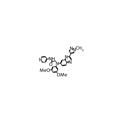 COc1cc(OC)cc(N(CC(=O)Nc2ccncc2)c2ccc3ncc(-c4cnn(C)c4)nc3c2)c1